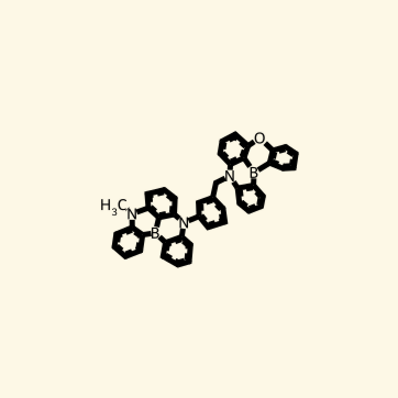 CN1c2ccccc2B2c3ccccc3N(c3cccc(CN4c5ccccc5B5c6ccccc6Oc6cccc4c65)c3)c3cccc1c32